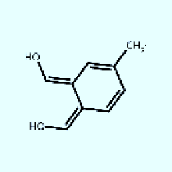 [CH2]c1ccc(=CO)c(=CO)c1